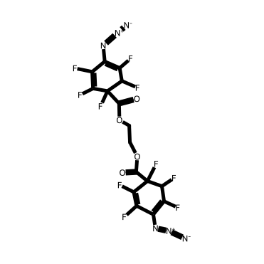 [N-]=[N+]=NC1=C(F)C(F)C(F)(C(=O)OCCOC(=O)C2(F)C(F)=C(F)C(N=[N+]=[N-])=C(F)C2F)C(F)=C1F